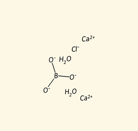 O.O.[Ca+2].[Ca+2].[Cl-].[O-]B([O-])[O-]